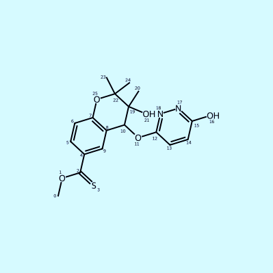 COC(=S)c1ccc2c(c1)C(Oc1ccc(O)nn1)C(C)(O)C(C)(C)O2